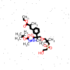 CCOC(=O)/C(C)=C/c1cccc(C(C)(COCC(C)(C)CS(=O)(=O)CCO)C(=O)NN(C)C(=O)OC(C)(C)C)c1